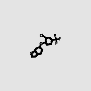 FC(F)(F)c1ccc(Oc2ccc3ccsc3c2)c(Cl)c1